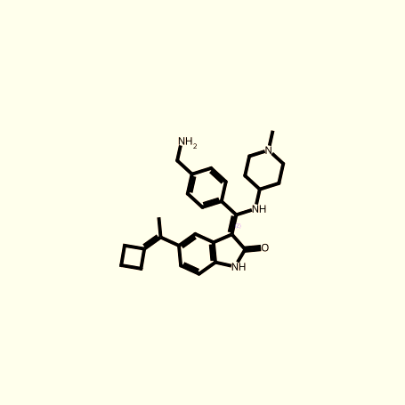 CC(=C1CCC1)c1ccc2c(c1)/C(=C(/NC1CCN(C)CC1)c1ccc(CN)cc1)C(=O)N2